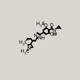 C/C=C\C(=C/c1ncc(-c2cc(O)c(C(=O)NC3CC3)c(OC)c2)[nH]1)C1CN(C)C1